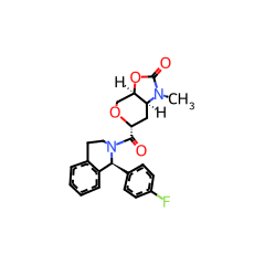 CN1C(=O)O[C@@H]2CO[C@@H](C(=O)N3CCc4ccccc4[C@@H]3c3ccc(F)cc3)C[C@@H]21